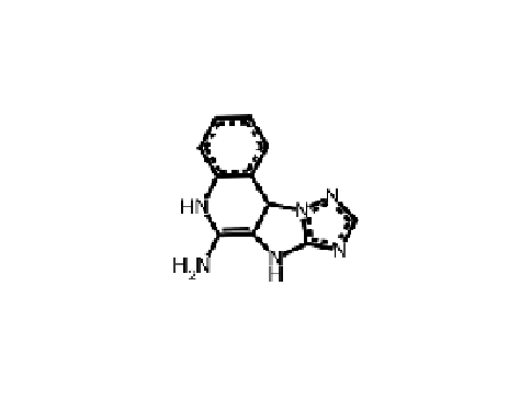 NC1=C2Nc3ncnn3C2c2ccccc2N1